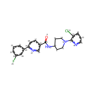 O=C(NC1CCN(c2ncccc2Cl)CC1)c1ccc(-c2cccc(F)c2)nc1